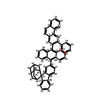 c1ccc(-c2nc3c(ccc4cccnc43)cc2-c2c3ccccc3c(-c3ccc4c(c3)C3(c5ccccc5-4)C4CC5CC(C4)CC3C5)c3ccccc23)cc1